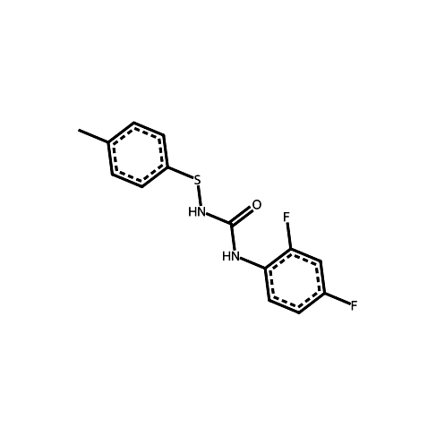 Cc1ccc(SNC(=O)Nc2ccc(F)cc2F)cc1